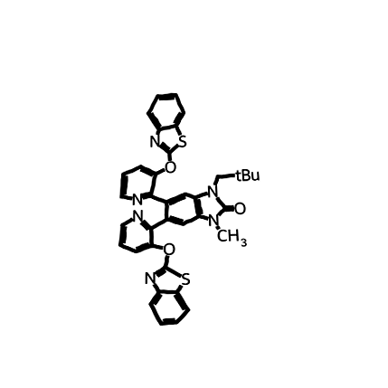 Cn1c(=O)n(CC(C)(C)C)c2cc(-c3ncccc3Oc3nc4ccccc4s3)c(-c3ncccc3Oc3nc4ccccc4s3)cc21